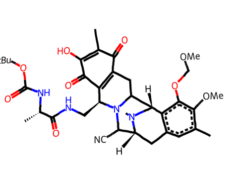 COCOc1c(OC)c(C)cc2c1[C@H]1C3CC4=C(C(=O)C(O)=C(C)C4=O)[C@H](CNC(=O)[C@H](C)NC(=O)OC(C)(C)C)N3C(C#N)[C@@H](C2)N1C